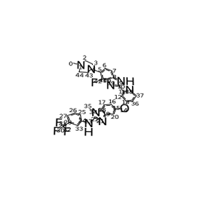 CN1CCN(c2ccc3[nH]c(-c4cc(Oc5ccc6c(c5)nc(Nc5cccc(C(F)(F)F)c5)n6C)ccn4)nc3c2F)CC1